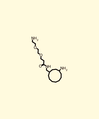 NCCOCCOCCC(=O)NCC1CCCCCCCC(N)CC1